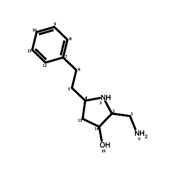 NCC1NC(CCc2ccccc2)CC1O